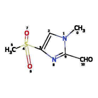 Cn1cc(S(C)(=O)=O)nc1C=O